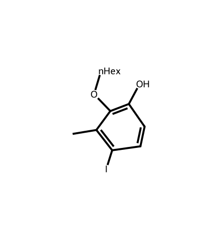 CCCCCCOc1c(O)ccc(I)c1C